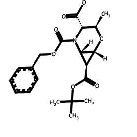 COC(=O)[C@@H]1[C@@H](C)O[C@@H]2[C@@H](C(=O)OC(C)(C)C)[C@@H]2N1C(=O)OCc1ccccc1